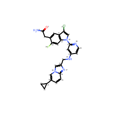 NC(=O)Cc1cc2c(Cl)cn(-c3cc(NCc4cn5cc(C6CC6)ccc5n4)ccn3)c2cc1F